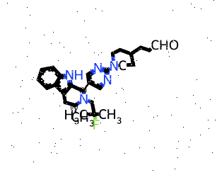 C[C@@H]1Cc2c([nH]c3ccccc23)[C@@H](c2cnc(N3CCC(CCC=O)CC3)nc2)N1CC(C)(C)F